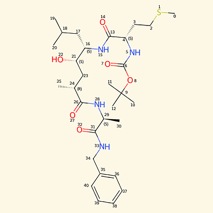 CSCC[C@H](NC(=O)OC(C)(C)C)C(=O)N[C@@H](CC(C)C)[C@@H](O)C[C@@H](C)C(=O)N[C@@H](C)C(=O)NCc1ccccc1